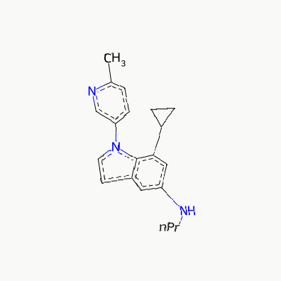 CCCNc1cc(C2CC2)c2c(ccn2-c2ccc(C)nc2)c1